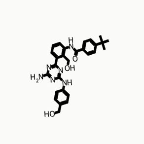 CC(C)(C)c1ccc(C(=O)Nc2cccc(-c3nc(N)nc(Nc4ccc(CO)cc4)n3)c2CO)cc1